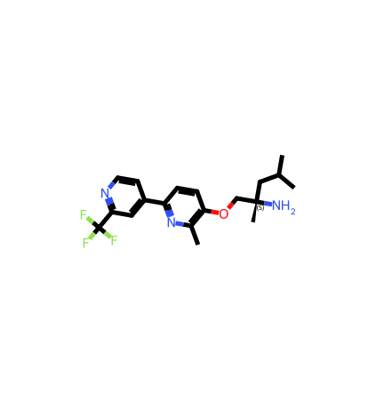 Cc1nc(-c2ccnc(C(F)(F)F)c2)ccc1OC[C@@](C)(N)CC(C)C